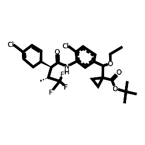 CCOC(c1ccc(Cl)c(NC(=O)[C@H](C2C=CC(Cl)=CC2)[C@@H](C)C(F)(F)F)c1)C1(C(=O)OC(C)(C)C)CC1